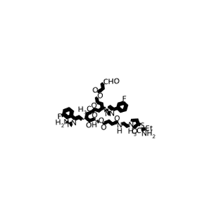 CCC(C)(N)SC1CCN(CCNC(=O)CCC(=O)OC[C@H]2O[C@](C)(C3CC(n4cc(-c5cccc(F)c5)nn4)CC(COC(=O)CCC=O)O3)C[C@@H](C/C=C(\N=N/N)c3cccc(F)c3)[C@H]2O)C1=O